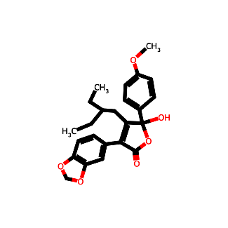 CCC(CC)CC1=C(c2ccc3c(c2)OCO3)C(=O)OC1(O)c1ccc(OC)cc1